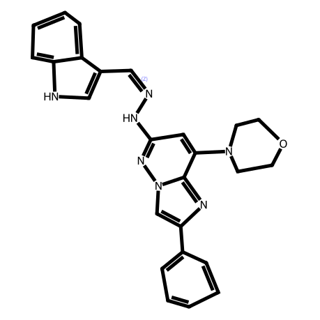 C(=N/Nc1cc(N2CCOCC2)c2nc(-c3ccccc3)cn2n1)/c1c[nH]c2ccccc12